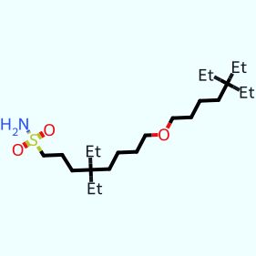 CCC(CC)(CC)CCCCOCCCCC(CC)(CC)CCCS(N)(=O)=O